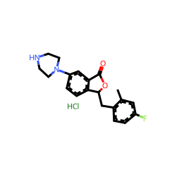 Cc1cc(F)ccc1CC1OC(=O)c2cc(N3CCNCC3)ccc21.Cl